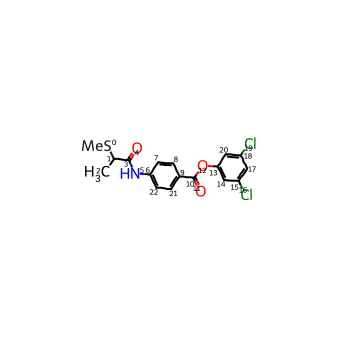 CSC(C)C(=O)Nc1ccc(C(=O)Oc2cc(Cl)cc(Cl)c2)cc1